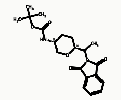 CC([C@@H]1CC[C@@H](NC(=O)OC(C)(C)C)CO1)N1C(=O)c2ccccc2C1=O